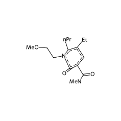 CCCc1c(CC)cc(C(=O)NC)c(=O)n1CCOC